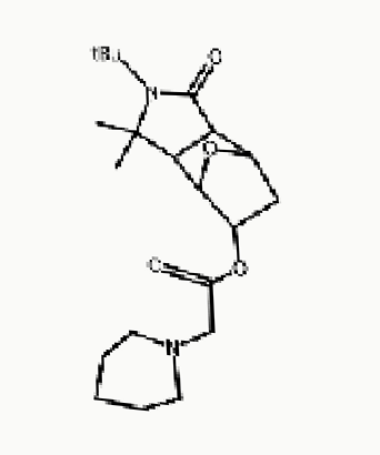 CC(C)(C)N1C(=O)C2C3CC(OC(=O)CN4CCCCC4)C(O3)C2C1(C)C